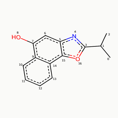 CC(C)c1nc2cc(O)c3ccccc3c2o1